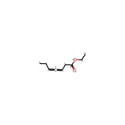 CCC=C=CCC(=O)OCC